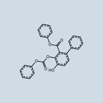 O=C(Oc1ccccc1)Oc1c(O)ccc(-c2ccccc2)c1C(=O)Oc1ccccc1